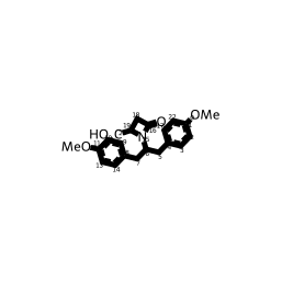 COc1ccc(CC(Cc2ccc(OC)cc2)N2C(=O)CC2C(=O)O)cc1